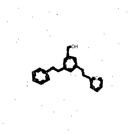 OCc1cc(CCc2ccccc2)cc(CCc2ccccc2)c1